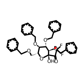 O=C(C(F)(F)F)[C@]1(O)O[C@H](COCc2ccccc2)[C@@H](OCc2ccccc2)[C@H](OCc2ccccc2)[C@H]1OCc1ccccc1